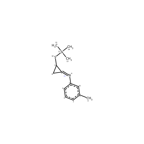 Cc1cccc(/N=C2\CC2S[Si](C)(C)C)c1